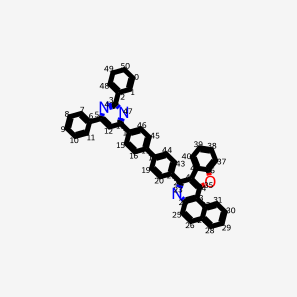 C1=CC(c2nc(-c3ccccc3)cc(-c3ccc(-c4ccc(-c5nc6ccc7ccccc7c6c6oc7ccccc7c56)cc4)cc3)n2)=CCC1